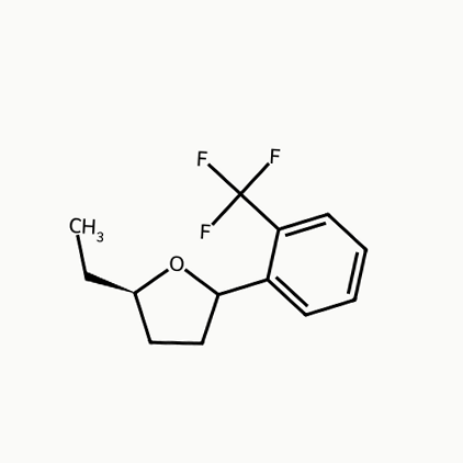 CC[C@@H]1CCC(c2ccccc2C(F)(F)F)O1